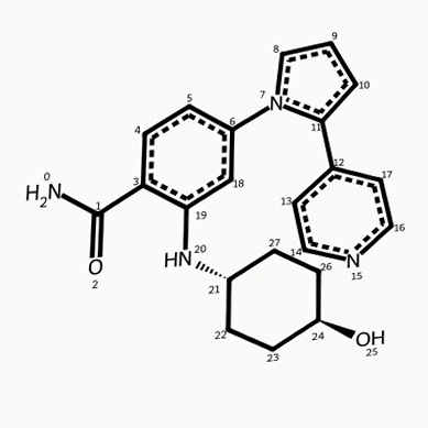 NC(=O)c1ccc(-n2cccc2-c2ccncc2)cc1N[C@H]1CC[C@H](O)CC1